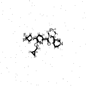 CC(C)C[C@H](c1cccnn1)N(C)C(=O)c1ccc(N2CC(F)(F)C2)c(OCC2CC2)n1